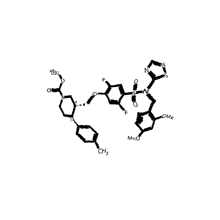 COc1ccc(CN(c2ncns2)S(=O)(=O)c2cc(F)c(OC[C@H]3CN(C(=O)OC(C)(C)C)CC[C@@H]3c3ccc(C)cc3)cc2F)c(OC)c1